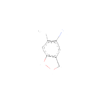 COc1cc2c(cc1N)COO2